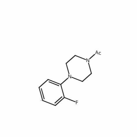 CC(=O)N1CCN(c2cc[c]cc2F)CC1